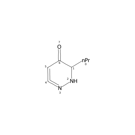 CCCC1NN=C=CC1=O